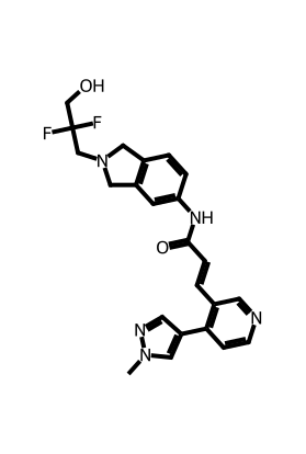 Cn1cc(-c2ccncc2C=CC(=O)Nc2ccc3c(c2)CN(CC(F)(F)CO)C3)cn1